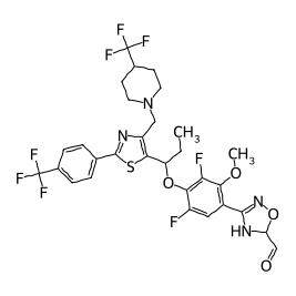 CCC(Oc1c(F)cc(C2=NOC(C=O)N2)c(OC)c1F)c1sc(-c2ccc(C(F)(F)F)cc2)nc1CN1CCC(C(F)(F)F)CC1